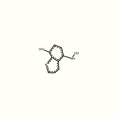 ONc1ccc(O)c2ncccc12